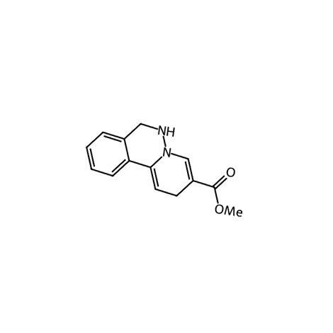 COC(=O)C1=CN2NCc3ccccc3C2=CC1